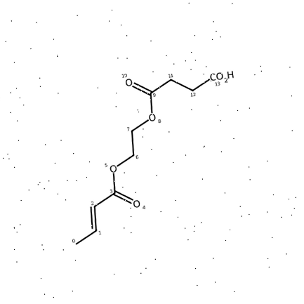 CC=CC(=O)OCCOC(=O)CCC(=O)O